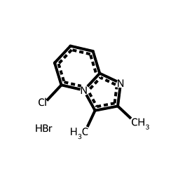 Br.Cc1nc2cccc(Cl)n2c1C